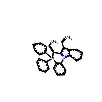 C=Cc1c2n(c3ccccc13)-c1ccccc1[Si](c1ccccc1)(c1ccccc1)/C2=C/C